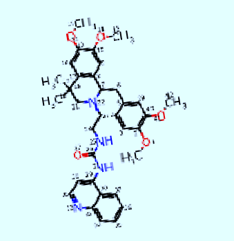 COc1ccc(CC2c3cc(OC)c(OC)cc3C(C)(C)CN2CCNC(=O)Nc2ccnc3ccccc23)cc1OC